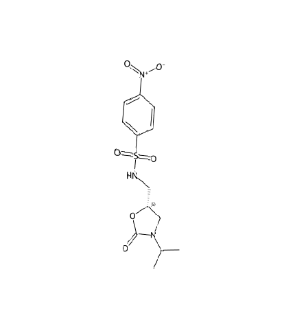 CC(C)N1C[C@@H](CNS(=O)(=O)c2ccc([N+](=O)[O-])cc2)OC1=O